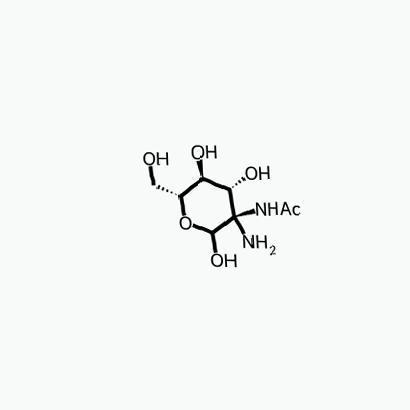 CC(=O)N[C@@]1(N)C(O)O[C@H](CO)[C@@H](O)[C@@H]1O